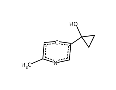 Cc1ccc(C2(O)CC2)cn1